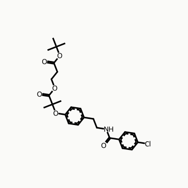 CC(C)(C)OC(=O)CCOC(=O)C(C)(C)Oc1ccc(CCNC(=O)c2ccc(Cl)cc2)cc1